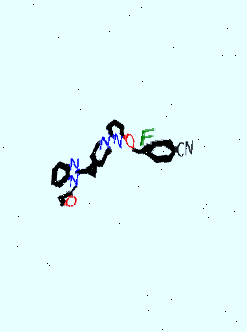 N#Cc1ccc(COc2cccc(N3CCC4(CC3)CC4c3nc4ccccc4n3C[C@@H]3CCO3)n2)c(F)c1